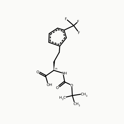 CC(C)(C)OC(=O)N[C@H](CCc1cccc(C(F)(F)F)c1)C(=O)O